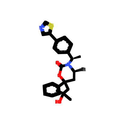 CC[C@H]1CC(CC(C)(C)O)(c2ccccc2)OC(=O)N1[C@@H](C)c1ccc(-c2cncs2)cc1